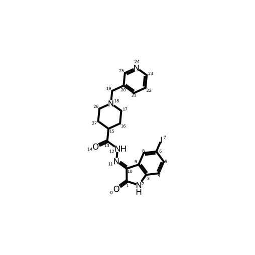 O=C1Nc2ccc(I)cc2/C1=N\NC(=O)C1CCN(Cc2cccnc2)CC1